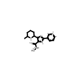 CC1CCCC(c2sc(-c3cccnc3)nc2C(=O)NO)O1